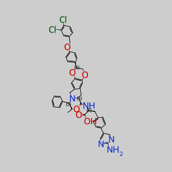 CC[C@@H](c1ccccc1)N1Cc2cc3c(cc2C[C@H]1C(=O)N[C@@H](Cc1ccc(-c2cnc(N)nc2)cc1)C(=O)O)OC[C@H](c1ccc(OCc2ccc(Cl)c(Cl)c2)cc1)O3